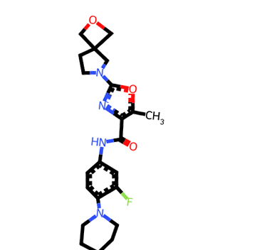 Cc1oc(N2CCC3(COC3)C2)nc1C(=O)Nc1ccc(N2CCCCC2)c(F)c1